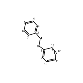 [CH](Cc1ccccc1)c1cccnc1